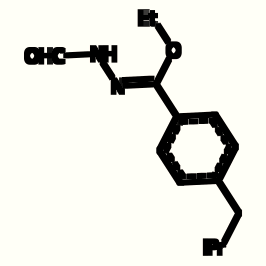 CCO/C(=N\NC=O)c1ccc(CC(C)C)cc1